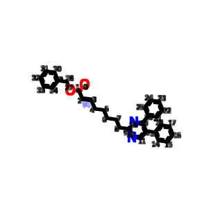 O=C(/C=C/CCCCCc1ncc(-c2ccccc2)c(-c2ccccc2)n1)OCc1ccccc1